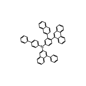 c1ccc(-c2ccc(N(c3ccc(-c4cc5ccccc5c5ccccc45)c(-c4ccc5ccccc5c4)c3)c3cc(-c4ccccc4)c4ccccc4c3)cc2)cc1